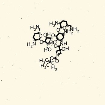 CC(C)(C)OC(=O)N1CC(O)(C(=O)N[C@@H]2C[C@H](N)[C@@H](O[C@H]3O[C@H](CN)CC[C@H]3N)[C@H](O[C@@H]3O[C@H](CO)[C@@H](O[C@H]4O[C@@H](CN)CC[C@H]4N)[C@H]3O)[C@H]2O)C1